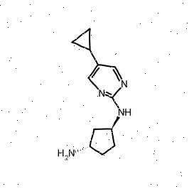 N[C@H]1CC[C@H](Nc2ncc(C3CC3)cn2)C1